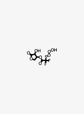 O=C1OCC(OC(=O)C(F)(F)SOOO)C1O